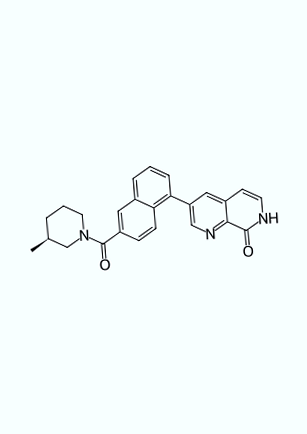 C[C@H]1CCCN(C(=O)c2ccc3c(-c4cnc5c(=O)[nH]ccc5c4)cccc3c2)C1